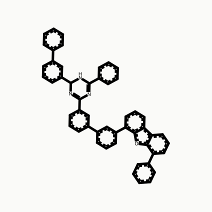 c1ccc(C2=NC(c3cccc(-c4cccc(-c5cccc6c5oc5c(-c7ccccc7)cccc56)c4)c3)=NC(c3cccc(-c4ccccc4)c3)N2)cc1